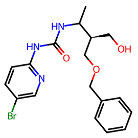 CC(NC(=O)Nc1ccc(Br)cn1)[C@@H](CO)COCc1ccccc1